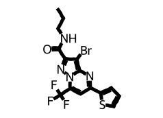 CCCNC(=O)c1nn2c(C(F)(F)F)cc(-c3cccs3)nc2c1Br